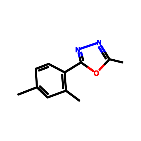 Cc1ccc(-c2nnc(C)o2)c(C)c1